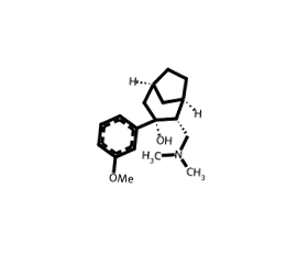 COc1cccc([C@@]2(O)C[C@H]3CC[C@H](C3)[C@@H]2CN(C)C)c1